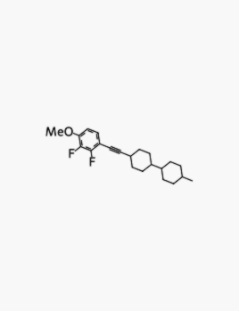 COc1ccc(C#CC2CCC(C3CCC(C)CC3)CC2)c(F)c1F